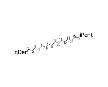 CCCCCCCCCCCCCCCCCCCCCCCCCCC(C)CCC